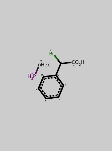 CCCCCCP.O=C(O)C(Br)c1ccccc1